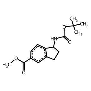 COC(=O)c1ccc2c(c1)CCC2NC(=O)OC(C)(C)C